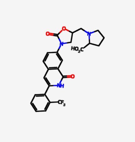 O=C(O)C1CCCN1CC1CN(c2ccc3cc(-c4ccccc4C(F)(F)F)[nH]c(=O)c3c2)C(=O)O1